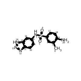 Cc1cc(S(=O)(=O)Nc2ccc3nn[nH]c3c2)ccc1N